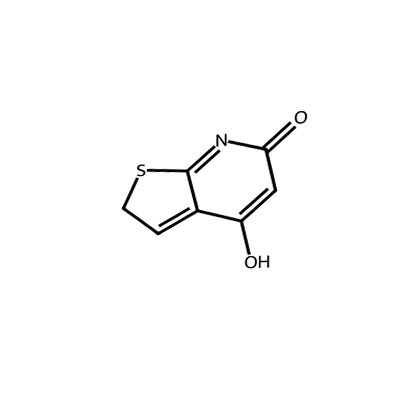 O=C1C=C(O)C2=CCSC2=N1